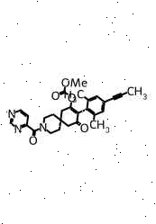 CC#Cc1cc(C)c(C2=C(OC(=O)OC)CC3(CCN(C(=O)c4ccncn4)CC3)CC2=O)c(C)c1